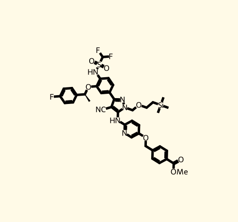 COC(=O)c1ccc(COc2ccc(Nc3c(C#N)c(-c4ccc(NS(=O)(=O)C(F)F)c(O[C@@H](C)c5ccc(F)cc5)c4)nn3COCC[Si](C)(C)C)nc2)cc1